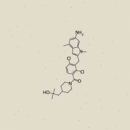 Cc1cc(N)cc2c1cc(Cc1c(Cl)ccc(C(=O)N3CCC(CC(C)(C)O)CC3)c1Cl)n2C